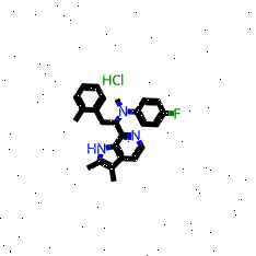 Cc1ccccc1CC(c1nccc2c(C)c(C)[nH]c12)N(C)c1ccc(F)cc1.Cl